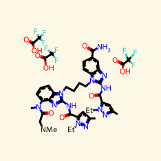 CCn1nc(C)cc1C(=O)Nc1nc2cc(C(N)=O)ccc2n1CCCCn1c(NC(=O)c2cc(C)nn2CC)nc2c(N(C)C(=O)CNC)cccc21.O=C(O)C(F)(F)F.O=C(O)C(F)(F)F.O=C(O)C(F)(F)F